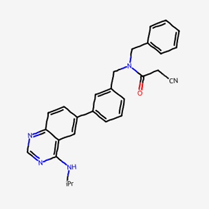 CC(C)Nc1ncnc2ccc(-c3cccc(CN(Cc4ccccc4)C(=O)CC#N)c3)cc12